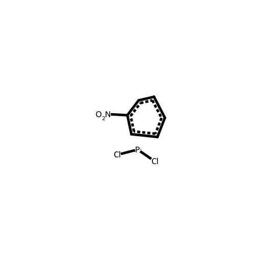 Cl[P]Cl.O=[N+]([O-])c1ccccc1